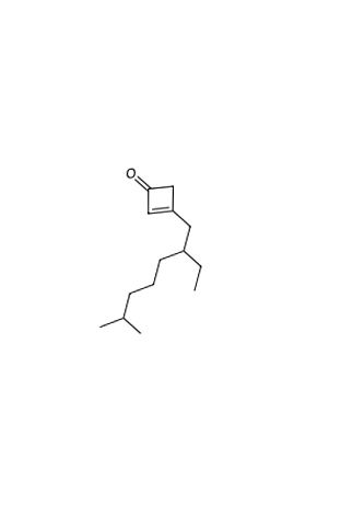 CCC(CCCC(C)C)CC1=CC(=O)C1